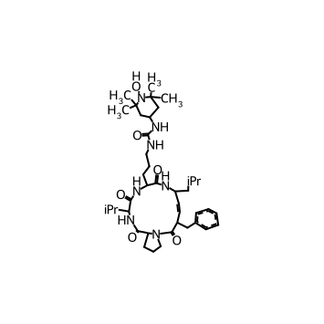 CC(C)CC1/C=C/C(Cc2ccccc2)C(=O)N2CCCC2C(=O)NC(C(C)C)C(=O)NC(CCCNC(=O)NC2CC(C)(C)N(O)C(C)(C)C2)C(=O)N1